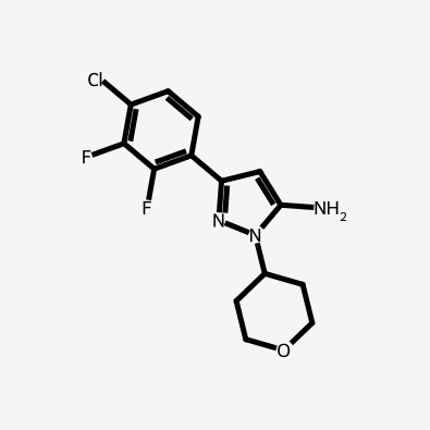 Nc1cc(-c2ccc(Cl)c(F)c2F)nn1C1CCOCC1